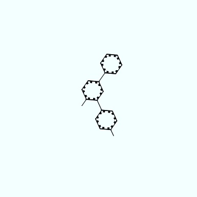 Clc1ccc(-c2cc(-c3ccccc3)ccc2Br)cc1